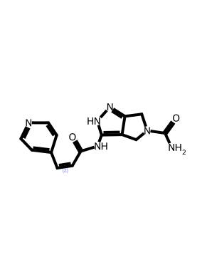 NC(=O)N1Cc2n[nH]c(NC(=O)/C=C\c3ccncc3)c2C1